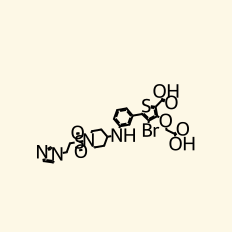 O=C(O)COc1c(C(=O)O)sc(-c2cccc(NC3CCN(S(=O)(=O)CCn4ccnc4)CC3)c2)c1Br